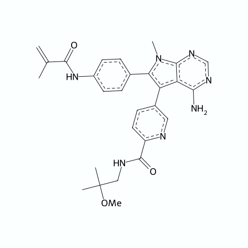 C=C(C)C(=O)Nc1ccc(-c2c(-c3ccc(C(=O)NCC(C)(C)OC)nc3)c3c(N)ncnc3n2C)cc1